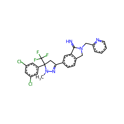 CN1N=C(c2ccc3c(c2)C(=N)N(Cc2ccccn2)C3)CC1(c1cc(Cl)cc(Cl)c1)C(F)(F)F